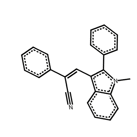 Cn1c(-c2ccccc2)c(/C=C(\C#N)c2ccccc2)c2ccccc21